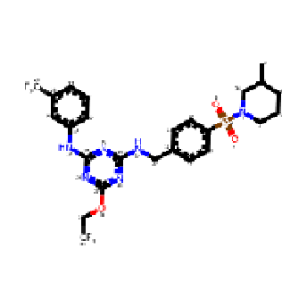 CC1CCCN(S(=O)(=O)c2ccc(CNc3nc(Nc4cccc(C(F)(F)F)c4)nc(OCC(F)(F)F)n3)cc2)C1